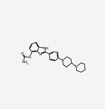 NC(=O)Oc1cccc2[nH]c(-c3ccc(N4CCC(N5CCCCC5)CC4)cc3)nc12